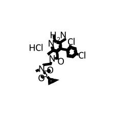 Cc1nc2c(c(-c3ccc(Cl)cc3Cl)c1CN)C(=O)N(CCN(C)S(=O)(=O)C1CC1)C2.Cl